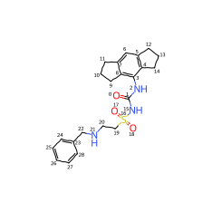 O=C(Nc1c2c(cc3c1CCC3)CCC2)NS(=O)(=O)CCNCc1ccccc1